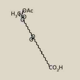 CC(=O)OCCN(C)CC(=O)OCCCCCCCCCCOC(=O)CCCCCCCC/C=C/CCCCCCCCC(=O)O